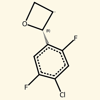 Fc1cc([C@H]2[CH]CO2)c(F)cc1Cl